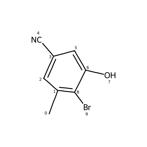 Cc1cc(C#N)cc(O)c1Br